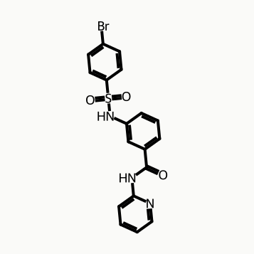 O=C(Nc1ccccn1)c1cccc(NS(=O)(=O)c2ccc(Br)cc2)c1